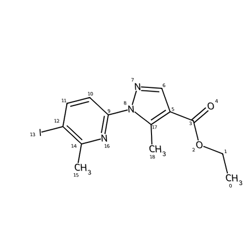 CCOC(=O)c1cnn(-c2ccc(I)c(C)n2)c1C